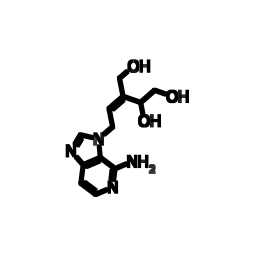 Nc1nccc2ncn(C/C=C(/CO)C(O)CO)c12